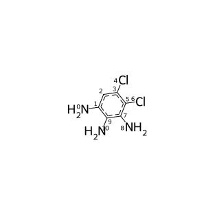 Nc1cc(Cl)c(Cl)c(N)c1N